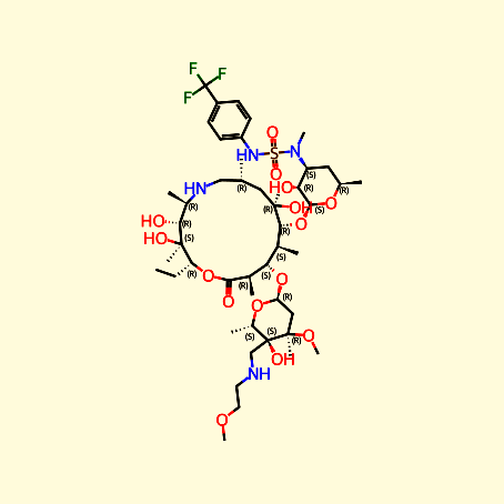 CC[C@H]1OC(=O)[C@H](C)[C@@H](O[C@H]2C[C@@](C)(OC)[C@](O)(CNCCOC)[C@H](C)O2)[C@H](C)[C@@H](O[C@@H]2O[C@H](C)C[C@H](N(C)S(=O)(=O)Nc3ccc(C(F)(F)F)cc3)[C@H]2O)[C@](C)(O)C[C@@H](C)CN[C@H](C)[C@@H](O)[C@]1(C)O